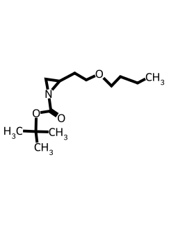 CCCCOCCC1CN1C(=O)OC(C)(C)C